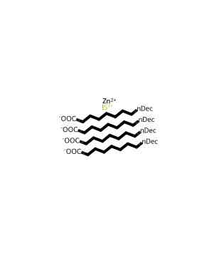 CCCCCCCCCCCCCCCCCC(=O)[O-].CCCCCCCCCCCCCCCCCC(=O)[O-].CCCCCCCCCCCCCCCCCC(=O)[O-].CCCCCCCCCCCCCCCCCC(=O)[O-].[S+2].[Zn+2]